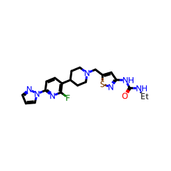 CCNC(=O)Nc1cc(CN2CCC(c3ccc(-n4cccn4)nc3F)CC2)sn1